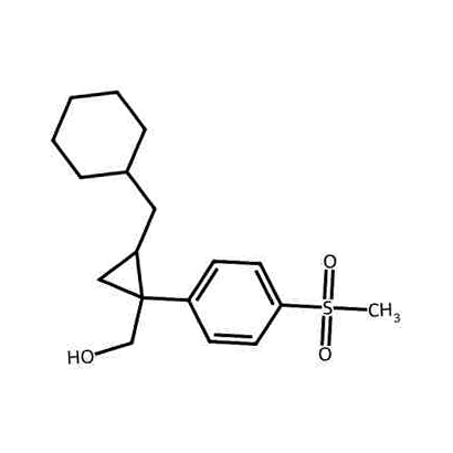 CS(=O)(=O)c1ccc(C2(CO)CC2CC2CCCCC2)cc1